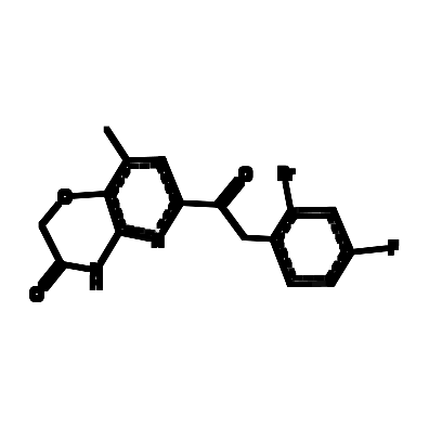 Cc1cc(C(=O)Cc2ccc(F)cc2Br)nc2c1OCC(=O)N2